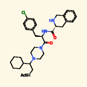 CC(=O)NCC(C1CCCCC1)N1CCN(C(=O)[C@@H](Cc2ccc(Cl)cc2)NC(=O)[C@H]2Cc3ccccc3CN2)CC1